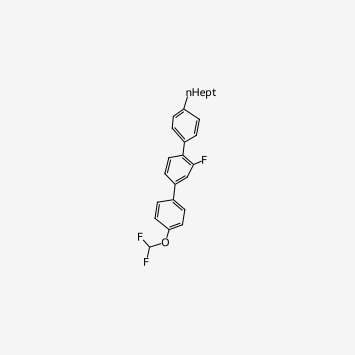 CCCCCCCc1ccc(-c2ccc(-c3ccc(OC(F)F)cc3)cc2F)cc1